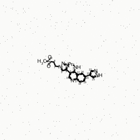 CC(C)Nc1c(-c2cn(CCS(C)(=O)=O)nn2)cnc2ccc(-c3cn[nH]c3)cc12